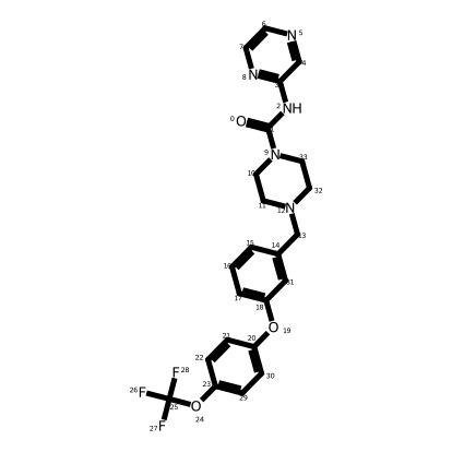 O=C(Nc1cnccn1)N1CCN(Cc2cccc(Oc3ccc(OC(F)(F)F)cc3)c2)CC1